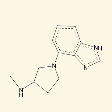 CNC1CCN(c2cccc3[nH]cnc23)C1